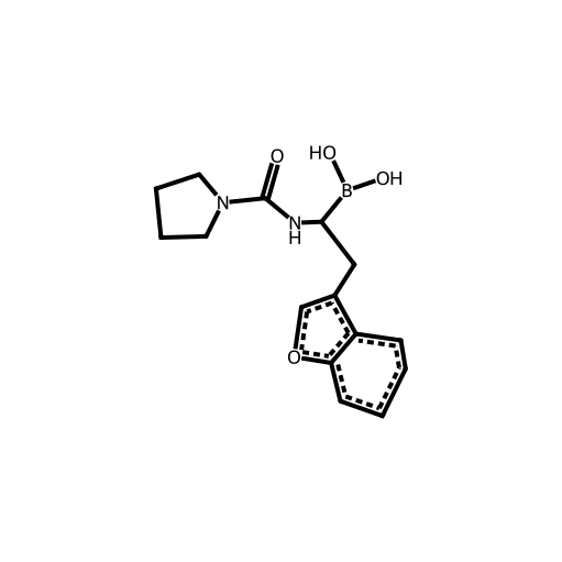 O=C(NC(Cc1coc2ccccc12)B(O)O)N1CCCC1